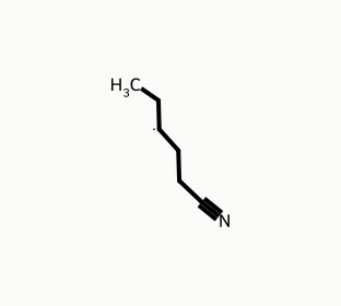 CC[CH]CCC#N